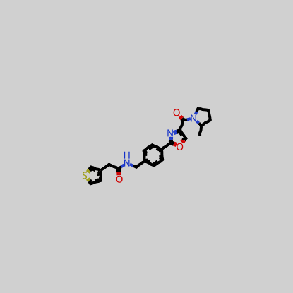 CC1CCCN1C(=O)c1coc(-c2ccc(CNC(=O)Cc3ccsc3)cc2)n1